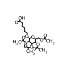 CC(=O)NC1C(OCCCCCC(=O)O)OC(COC(C)=O)C(OC(C)=O)C1OC(C)=O